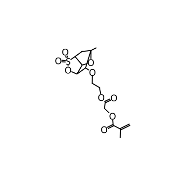 C=C(C)C(=O)OCC(=O)OCCOC1C2OS(=O)(=O)C3CC1(C)OC23